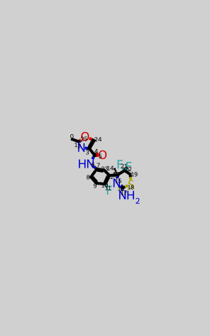 Cc1nc(C(=O)Nc2ccc(F)c([C@@]3(C)N=C(N)SCC3(F)F)c2)co1